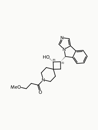 COCCC(=O)N1CCC2(CC1)C[C@@H](C1c3ccccc3-c3cncn31)[C@H]2O